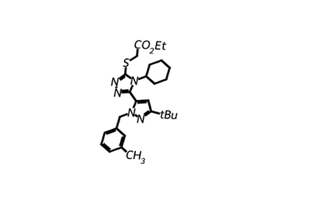 CCOC(=O)CSc1nnc(-c2cc(C(C)(C)C)nn2Cc2cccc(C)c2)n1C1CCCCC1